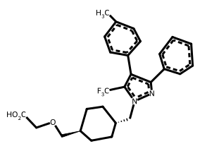 Cc1ccc(-c2c(-c3ccccc3)nn(C[C@H]3CC[C@H](COCC(=O)O)CC3)c2C(F)(F)F)cc1